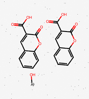 O=C(O)c1cc2ccccc2oc1=O.O=C(O)c1cc2ccccc2oc1=O.[OH][Al]